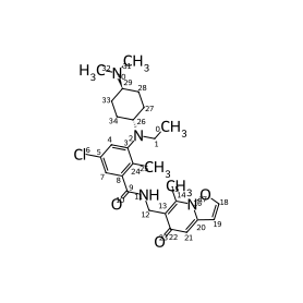 CCN(c1cc(Cl)cc(C(=O)NCc2c(C)n3occc3cc2=O)c1C)[C@H]1CC[C@H](N(C)C)CC1